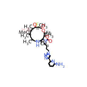 B[C@@H]1[C@H](C)C(=O)[C@](C)(F)C(=O)O[C@H](CC)[C@@]2(C)OC(=O)N(CCCCn3cc(-c4cccc(N)n4)nn3)[C@@H]2[C@@H](C)NC[C@H](C)C[C@@]1(C)OC